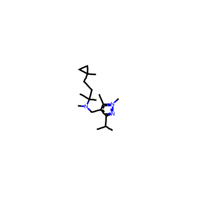 Cc1c(CN(C)C(C)(C)CCC2(C)CC2)c(C(C)C)nn1C